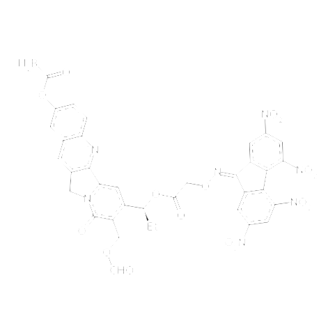 BC(=O)Oc1ccc2nc3c(cc2c1)Cn1c-3cc([C@H](CC)OC(=O)CON=C2c3cc([N+](=O)[O-])cc([N+](=O)[O-])c3-c3c2cc([N+](=O)[O-])cc3[N+](=O)[O-])c(COC=O)c1=O